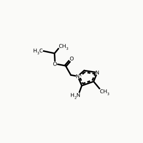 Cc1ncn(CC(=O)OC(C)C)c1N